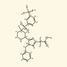 COC(=O)C(C)(C)c1cc(C2CC(C)(S(=O)(=O)c3cccc(C(F)(F)F)c3)CCO2)n(Cc2ccccc2)n1